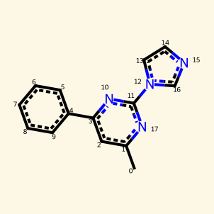 Cc1cc(-c2ccccc2)nc(-n2ccnc2)n1